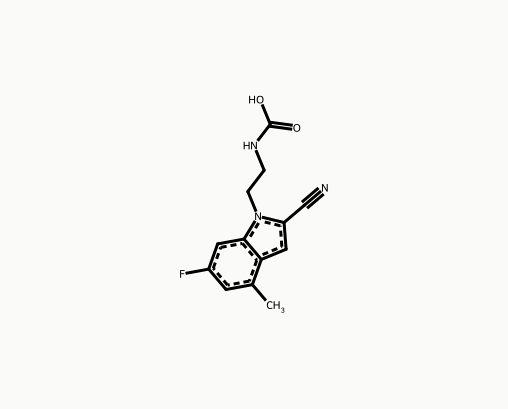 Cc1cc(F)cc2c1cc(C#N)n2CCNC(=O)O